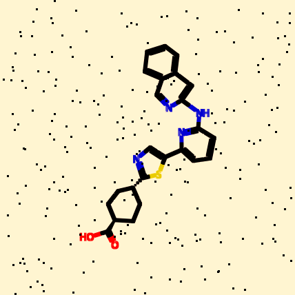 O=C(O)[C@H]1CC[C@H](c2ncc(-c3cccc(Nc4cc5ccccc5cn4)n3)s2)CC1